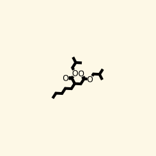 CCCCCC(CC(=O)OCC(C)C)C(=O)OCC(C)C